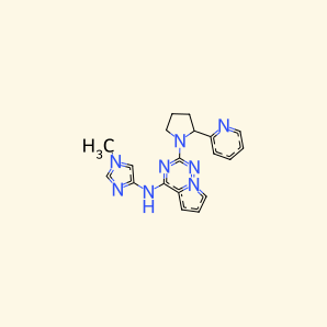 Cn1cnc(Nc2nc(N3CCCC3c3ccccn3)nn3cccc23)c1